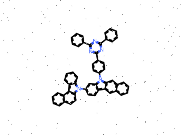 c1ccc(-c2nc(-c3ccccc3)nc(-c3ccc(-n4c5cc(-n6c7ccccc7c7c8ccccc8ccc76)ccc5c5cc6ccccc6cc54)cc3)n2)cc1